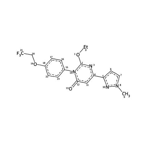 CCOc1nc(-c2ccn(C)n2)cc(=O)n1-c1ccc(OCC(F)(F)F)cc1